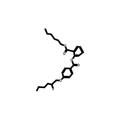 CCCCCCOC(=O)c1ccccc1OC(=O)c1ccc(OCC(F)CCCC)cc1